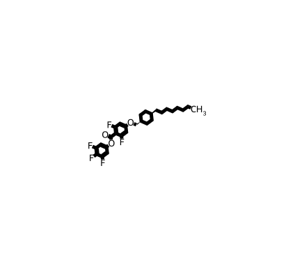 CCCCCCCC[C@H]1CC[C@H](COc2cc(F)c(C(=O)Oc3cc(F)c(F)c(F)c3)c(F)c2)CC1